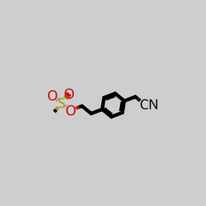 CS(=O)(=O)OCCc1ccc(CC#N)cc1